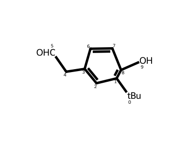 CC(C)(C)c1cc(CC=O)ccc1O